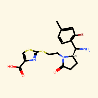 Cc1ccc(C(N)[C@H]2CCC(=O)N2CCSc2nc(C(=O)O)cs2)c(Br)c1